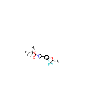 CC(Oc1ccc(C2CN(C(=O)OC(C)(C)C)C2)cc1)C(F)(F)F